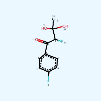 O=C(c1ccc(F)cc1)C(F)C(O)(O)C(F)(F)F